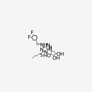 CCCCSc1nc(NC2CC2c2ccc(F)c(F)c2)c2nnn([C@H]3C[C@@H](O)[C@H](O)[C@@H]3O)c2n1